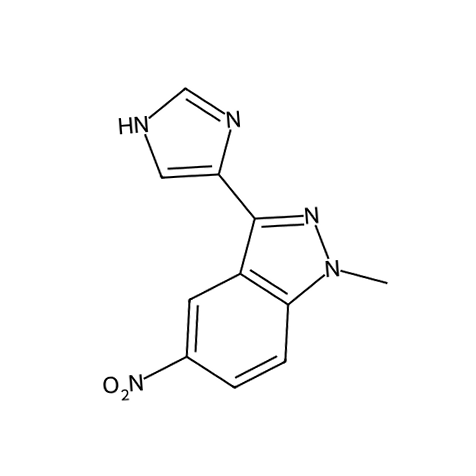 Cn1nc(-c2c[nH]cn2)c2cc([N+](=O)[O-])ccc21